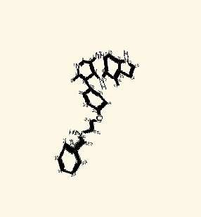 Cc1ncc(N)c(Nc2ccc3[nH]ccc3c2C)c1-c1ccc(OCCNCc2ccccc2)cc1